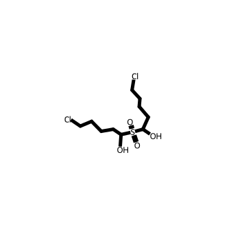 O=S(=O)(C(O)CCCCCl)C(O)CCCCCl